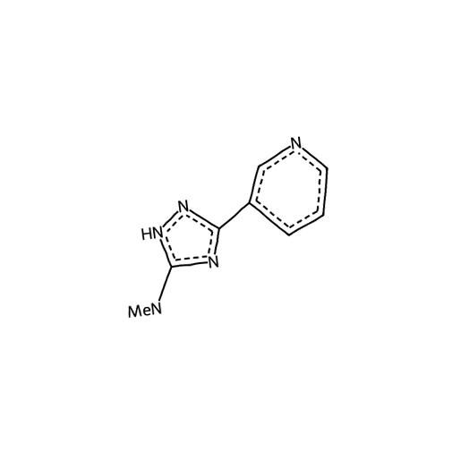 CNc1nc(-c2cccnc2)n[nH]1